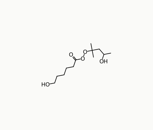 CC(O)CC(C)(C)OOC(=O)CCCCCO